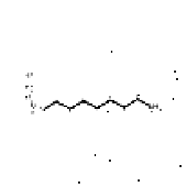 CCCCCCCCN.F.F.F.[B]